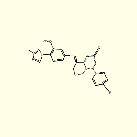 COc1cc(/C=C2\CCCN3C2=NC(=O)CN3c2ccc(F)cc2)ccc1-n1cnc(C)c1